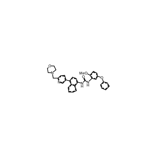 COc1ccc(Oc2ccccc2)cc1NC(=O)Nc1ccc(-c2ccc(CN3CCOCC3)nc2)c2ccccc12